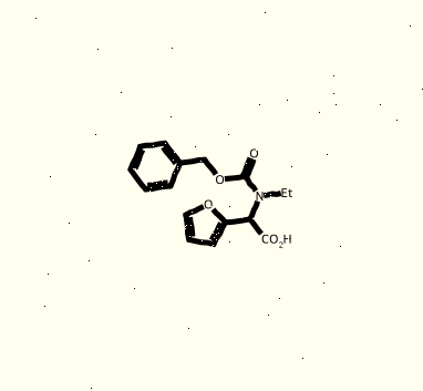 CCN(C(=O)OCc1ccccc1)C(C(=O)O)c1ccco1